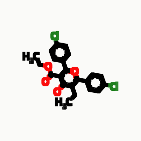 CCOC(=O)c1c(-c2ccc(Cl)cc2)oc(-c2ccc(Cl)cc2)c(CC)c1=O